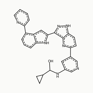 OC(Nc1cncc(-c2ccc3[nH]nc(-c4cc5c(-c6ccccn6)cccc5[nH]4)c3n2)c1)C1CC1